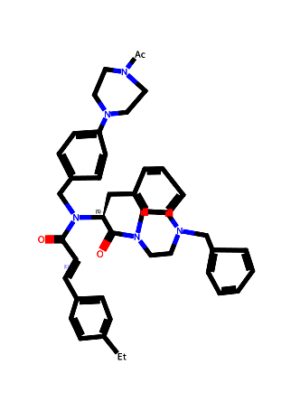 CCc1ccc(/C=C/C(=O)N(Cc2ccc(N3CCN(C(C)=O)CC3)cc2)[C@@H](Cc2ccccc2)C(=O)N2CCN(Cc3ccccc3)CC2)cc1